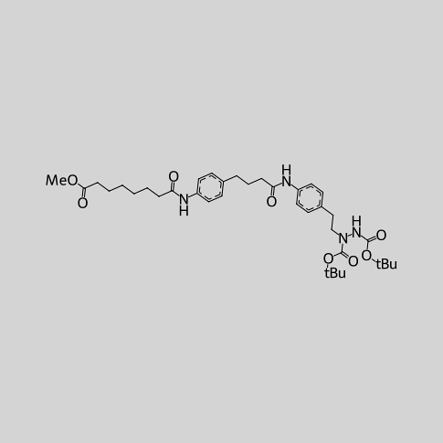 COC(=O)CCCCCCC(=O)Nc1ccc(CCCC(=O)Nc2ccc(CCN(NC(=O)OC(C)(C)C)C(=O)OC(C)(C)C)cc2)cc1